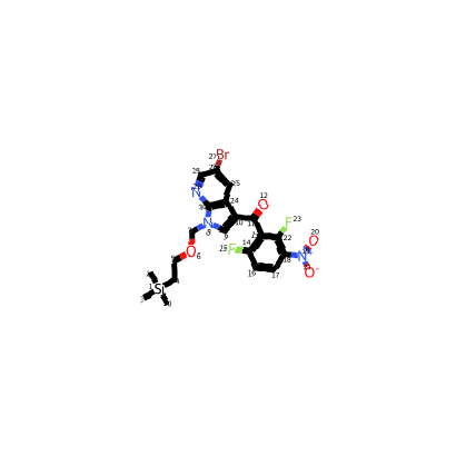 C[Si](C)(C)CCOCn1cc(C(=O)c2c(F)ccc([N+](=O)[O-])c2F)c2cc(Br)cnc21